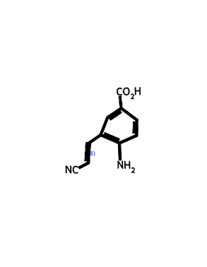 N#C/C=C/c1cc(C(=O)O)ccc1N